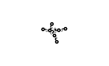 O=C(O[C@H]1Cc2c(OCc3ccccc3)cc(OCc3ccccc3)cc2O[C@H]1c1ccc(OCc2ccccc2)cc1)c1ccc(OCc2ccccc2)cc1